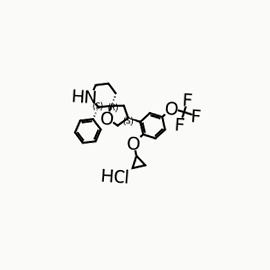 Cl.FC(F)(F)Oc1ccc(OC2CC2)c([C@H]2CO[C@]3(CCCN[C@H]3c3ccccc3)C2)c1